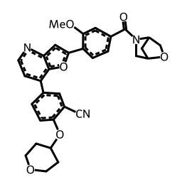 COc1cc(C(=O)N2CC3CC2CO3)ccc1-c1cc2nccc(-c3ccc(OC4CCOCC4)c(C#N)c3)c2o1